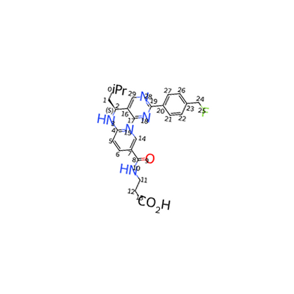 CC(C)C[C@H](Nc1ccc(C(=O)NCCC(=O)O)cn1)c1cnc(-c2ccc(CF)cc2)nc1